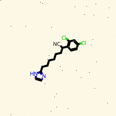 N#CC(CCCCCCc1ncc[nH]1)c1ccc(Cl)cc1Cl